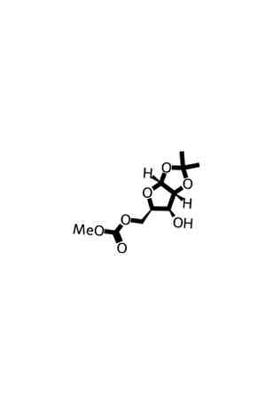 COC(=O)OC[C@H]1O[C@@H]2OC(C)(C)O[C@@H]2[C@H]1O